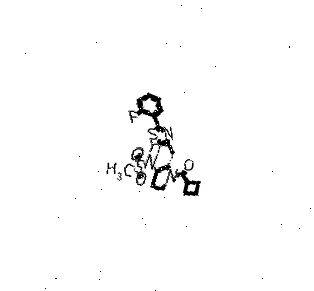 CS(=O)(=O)N[C@H]1CCN(C(=O)C2CCC2)[C@H]1Cc1csc(-c2ccccc2F)n1